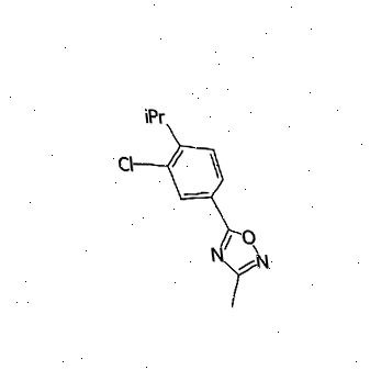 Cc1noc(-c2ccc(C(C)C)c(Cl)c2)n1